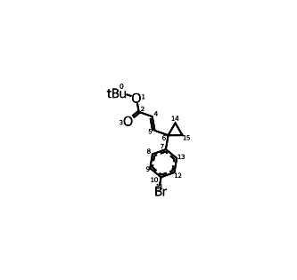 CC(C)(C)OC(=O)/C=C/C1(c2ccc(Br)cc2)CC1